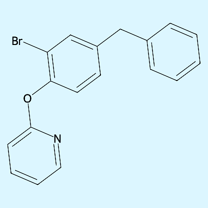 Brc1cc(Cc2ccccc2)ccc1Oc1ccccn1